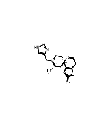 CCc1cc2c(s1)CCO[C@@]21CCN(Cc2c[nH]nn2)[C@@H](C)C1